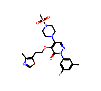 Cc1cc(F)cc(-n2ncc(N3CCN(S(C)(=O)=O)CC3)c(OCCc3scnc3C)c2=O)c1